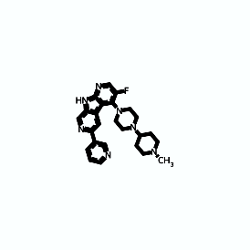 CN1CCC(N2CCN(c3c(F)cnc4[nH]c5cnc(-c6cccnc6)cc5c34)CC2)CC1